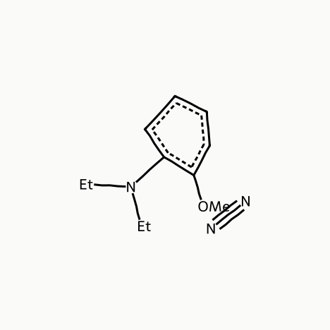 CCN(CC)c1ccccc1OC.N#N